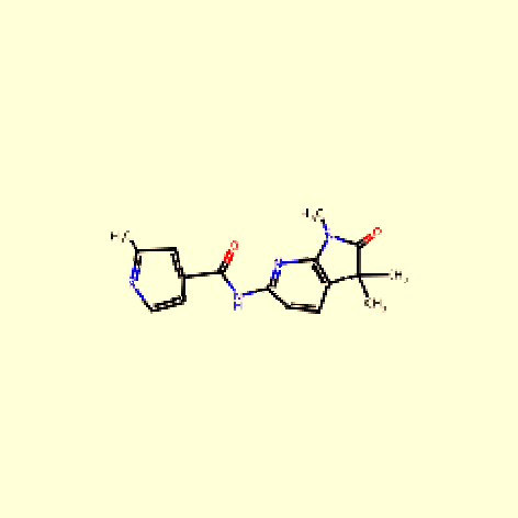 Cc1cc(C(=O)Nc2ccc3c(n2)N(C)C(=O)C3(C)C)ccn1